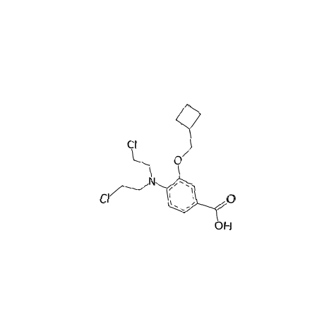 O=C(O)c1ccc(N(CCCl)CCCl)c(OCC2CCC2)c1